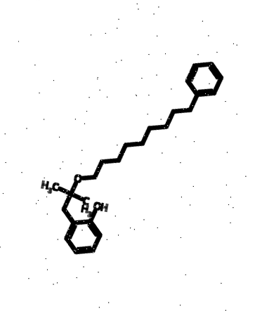 CC(C)(Cc1ccccc1O)OCCCCCCCCCc1ccccc1